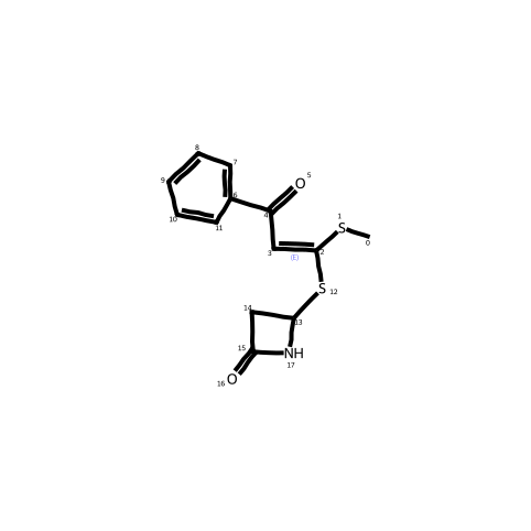 CS/C(=C\C(=O)c1ccccc1)SC1CC(=O)N1